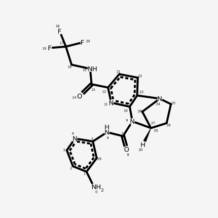 Nc1ccnc(NC(=O)N2c3nc(C(=O)NCC(F)(F)F)ccc3N3CC[C@H]2C3)c1